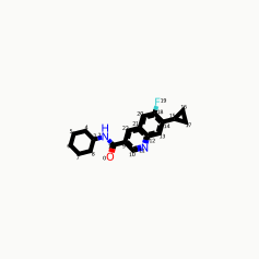 O=C(NC1CCCCC1)c1cnc2cc(C3CC3)c(F)cc2c1